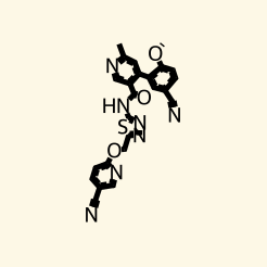 COc1ccc(C#N)cc1-c1cc(C)ncc1C(=O)Nc1nnc(COc2ccc(C#N)cn2)s1